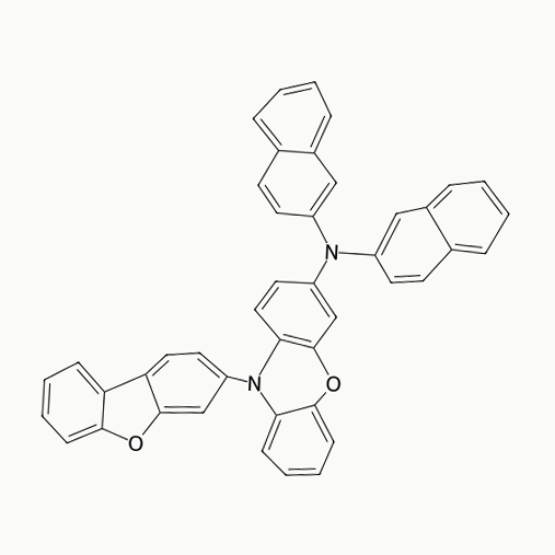 c1ccc2c(c1)Oc1cc(N(c3ccc4ccccc4c3)c3ccc4ccccc4c3)ccc1N2c1ccc2c(c1)oc1ccccc12